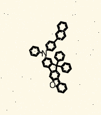 c1ccc(N(c2ccc(-c3ccc4ccccc4c3)cc2)c2ccc3c(c2)C(c2ccccc2)(c2ccccc2)c2cc4c(cc2-3)oc2ccccc24)cc1